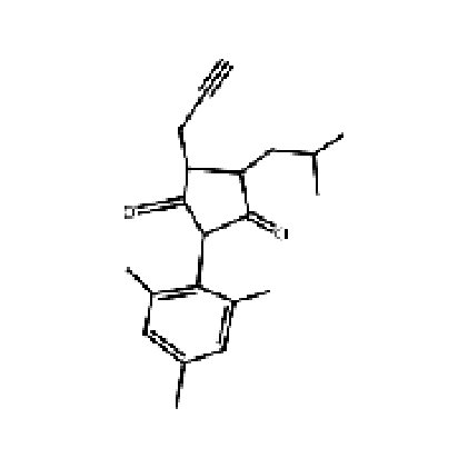 C#CCC1C(=O)C(c2c(C)cc(C)cc2C)C(=O)C1CC(C)C